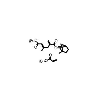 C=C(CC(C)=CC(=O)OCC(C)C)C(=O)OC1CC2CCC1(C)C2(C)C.C=CC(=O)OCC(C)C